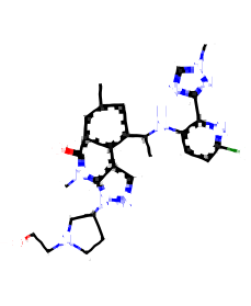 Cc1cc(C(C)Nc2ccc(Cl)nc2-c2ncn(C)n2)c2c(c1)c(=O)n(C)c1c2cnn1C1CCN(CCO)C1